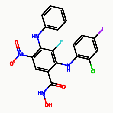 O=C(NO)c1cc([N+](=O)[O-])c(Nc2ccccc2)c(F)c1Nc1ccc(I)cc1Cl